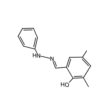 Cc1cc(C)c(O)c(/C=N/Nc2ccccc2)c1